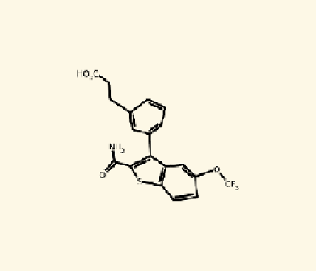 NC(=O)c1sc2ccc(OC(F)(F)F)cc2c1-c1cccc(CCC(=O)O)c1